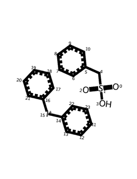 O=S(=O)(O)Cc1ccccc1.c1ccc([I+]c2ccccc2)cc1